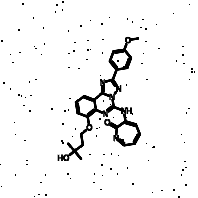 COc1ccc(-c2nc3c4cccc(OCCC(C)(C)O)c4nc(Nc4ccccnc4=O)n3n2)cc1